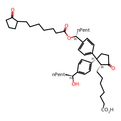 CCCCC[C@H](O)c1ccc([C@]2(c3ccc([C@@H](CCCCC)OC(=O)CCCCCCC4CCCC4=O)cc3)CCC(=O)[C@@H]2CCCCCCC(=O)O)cc1